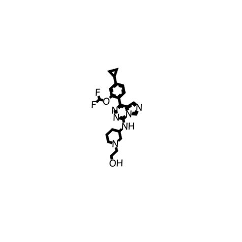 OCCN1CCCC(Nc2nnc(-c3ccc(C4CC4)cc3OC(F)F)c3cncn23)C1